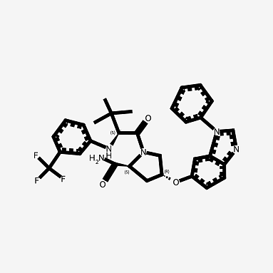 CC(C)(C)[C@H](Nc1cccc(C(F)(F)F)c1)C(=O)N1C[C@H](Oc2ccc3ncn(-c4ccccc4)c3c2)C[C@H]1C(N)=O